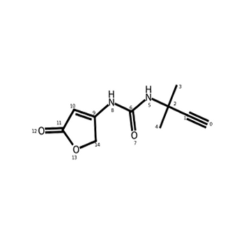 C#CC(C)(C)NC(=O)NC1=CC(=O)OC1